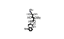 CO[C@@H](C(=O)N[C@H]1CSC2C(Br)=CC=CC2NC1=O)[C@H](O)[C@@H](O)[C@H](O)/C=C/C(C)(C)C